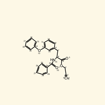 C#CCOC(=O)C(Cc1cccc(Oc2ccccc2)c1)NC(=O)c1ccccc1